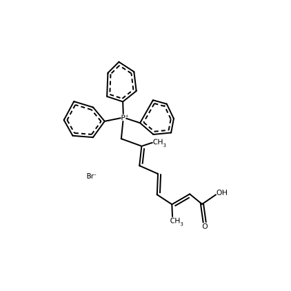 CC(C=CC=C(C)C[P+](c1ccccc1)(c1ccccc1)c1ccccc1)=CC(=O)O.[Br-]